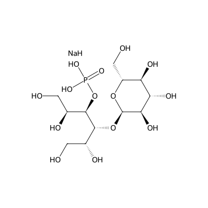 O=P(O)(O)O[C@@H]([C@H](O[C@H]1O[C@H](CO)[C@@H](O)[C@H](O)[C@H]1O)[C@H](O)CO)[C@@H](O)CO.[NaH]